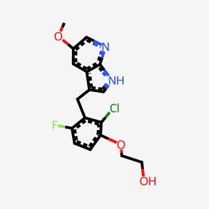 COc1cnc2[nH]cc(Cc3c(F)ccc(OCCO)c3Cl)c2c1